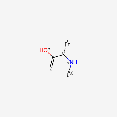 C=C(O)[C@H](CC)NC(C)=O